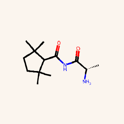 C[C@H](N)C(=O)NC(=O)C1C(C)(C)CCC1(C)C